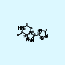 CC1NCCn2c(-c3ncns3)nnc21